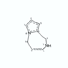 C1=CNCc2cccn2C1